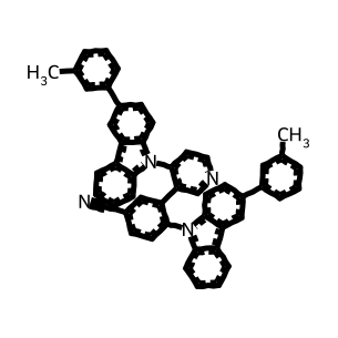 Cc1cccc(-c2ccc3c(c2)c2ccccc2n3-c2ccncc2-c2cc(C#N)ccc2-n2c3ccccc3c3cc(-c4cccc(C)c4)ccc32)c1